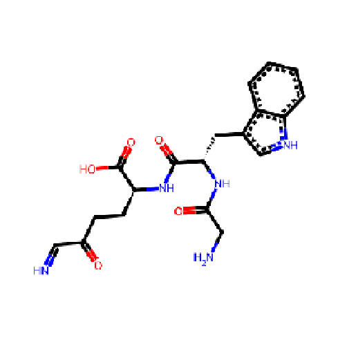 N=CC(=O)CC[C@H](NC(=O)[C@H](Cc1c[nH]c2ccccc12)NC(=O)CN)C(=O)O